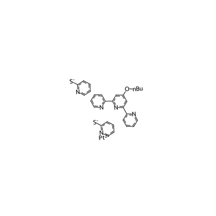 CCCCOc1cc(-c2ccccn2)nc(-c2ccccn2)c1.[Pt+2].[S-]c1ccccn1.[S-]c1ccccn1